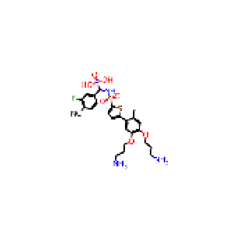 Cc1cc(OCCCN)c(OCCCN)cc1-c1ccc(S(=O)(=O)NC(c2ccc(C#N)c(F)c2)P(=O)(O)O)s1